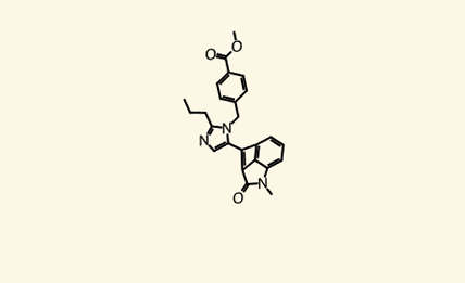 CCCc1ncc(C2=C3C(=O)N(C)c4cccc2c43)n1Cc1ccc(C(=O)OC)cc1